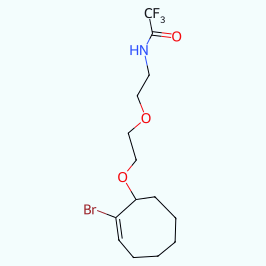 O=C(NCCOCCOC1CCCCCC=C1Br)C(F)(F)F